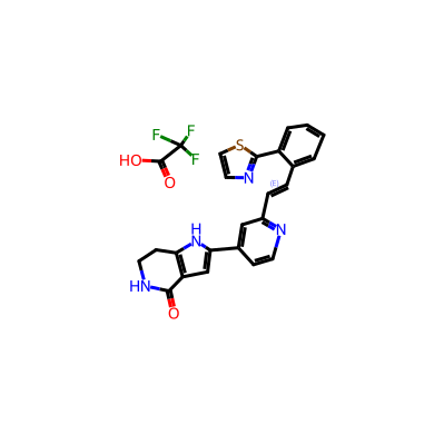 O=C(O)C(F)(F)F.O=C1NCCc2[nH]c(-c3ccnc(/C=C/c4ccccc4-c4nccs4)c3)cc21